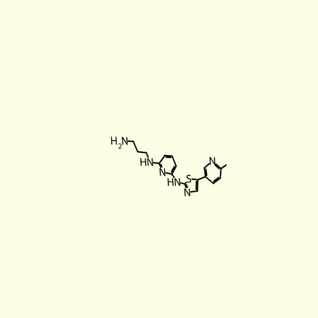 Cc1ccc(-c2cnc(Nc3cccc(NCCCN)n3)s2)cn1